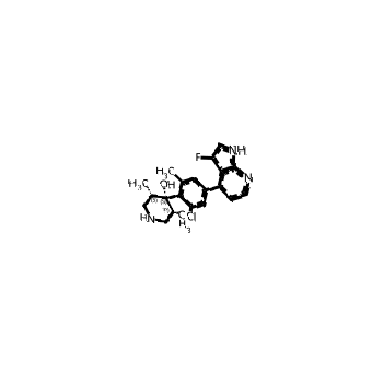 Cc1cc(-c2ccnc3[nH]cc(F)c23)cc(Cl)c1[C@@]1(O)[C@H](C)CNC[C@@H]1C